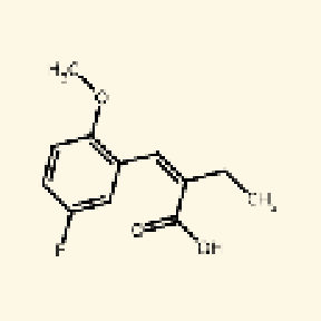 CCC(=Cc1cc(F)ccc1OC)C(=O)O